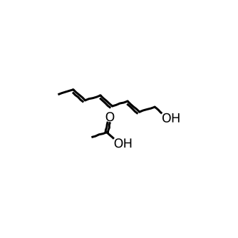 CC(=O)O.CC=CC=CC=CCO